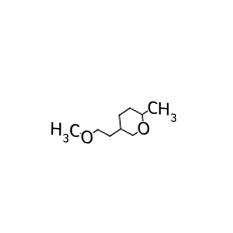 COCCC1CCC(C)OC1